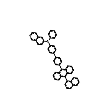 c1ccc(N(c2ccc(-c3ccc(-c4c5ccccc5c(-c5cccc6ccccc56)c5ccccc45)cc3)cc2)c2ccc3cnccc3c2)cc1